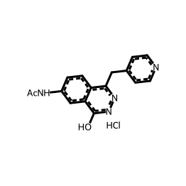 CC(=O)Nc1ccc2c(Cc3ccncc3)nnc(O)c2c1.Cl